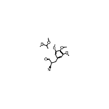 COC(C)OC.COc1cc(CC(C#N)C=O)cc(OC)c1OC